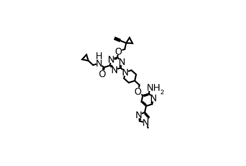 C#CC1(COc2nc(C(=O)NCC3CC3)nc(N3CCC(COc4cc(-c5cn(C)cn5)cnc4N)CC3)n2)CC1